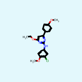 CCOc1cc(-c2ccc(OC)cc2)nc(Nc2ccc(OC)c(Cl)c2)n1